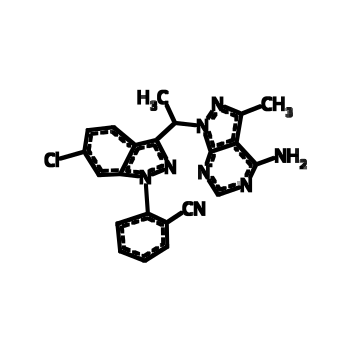 Cc1nn(C(C)c2nn(-c3ccccc3C#N)c3cc(Cl)ccc23)c2ncnc(N)c12